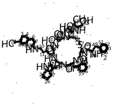 C#Cc1ccc2ccc(NCCCC[C@@H]3NC(=O)[C@@H](Cc4c[nH]c5ccccc45)NC(=O)[C@H](Cc4ccccc4)NC(=O)[C@@H](NC(=O)[C@H](N)Cc4ccccc4)CSSC[C@@H](C(=O)NC(CO)C(C)O)NC(=O)[C@H]([C@@H](C)O)NC3=O)nc2c1